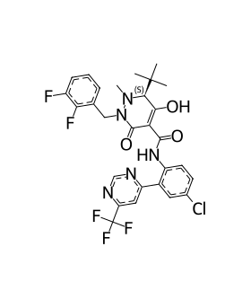 CN1[C@@H](C(C)(C)C)C(O)=C(C(=O)Nc2ccc(Cl)cc2-c2cc(C(F)(F)F)ncn2)C(=O)N1Cc1cccc(F)c1F